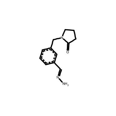 NN=Cc1cccc(CN2CCCC2=O)c1